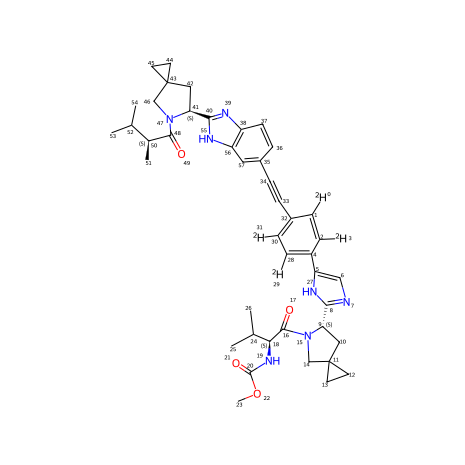 [2H]c1c([2H])c(-c2cnc([C@@H]3CC4(CC4)CN3C(=O)[C@@H](NC(=O)OC)C(C)C)[nH]2)c([2H])c([2H])c1C#Cc1ccc2nc([C@@H]3CC4(CC4)CN3C(=O)[C@@H](C)C(C)C)[nH]c2c1